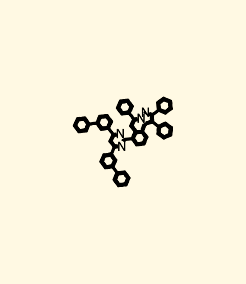 c1ccc(-c2cccc(-c3cc(-c4cccc(-c5ccccc5)c4)nc(-c4cccc5c4cc(-c4ccccc4)n4nc(-c6ccccc6)c(-c6ccccc6)c54)n3)c2)cc1